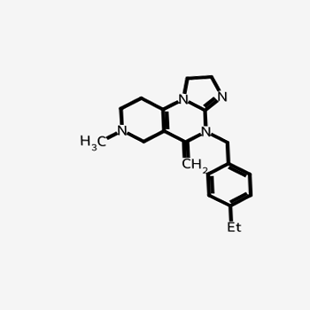 C=C1C2=C(CCN(C)C2)N2CCN=C2N1Cc1ccc(CC)cc1